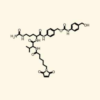 CC(C)C(NC(=O)CCCCCN1C(=O)C=CC1=O)C(=O)NC(CCCNC(N)=O)C(=O)Nc1ccc(COC(=O)Nc2ccc(CO)cc2)cc1